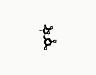 C[C@H]1[C@@H](Cc2cc(Cl)cc(Cl)c2)OC(=O)N1C